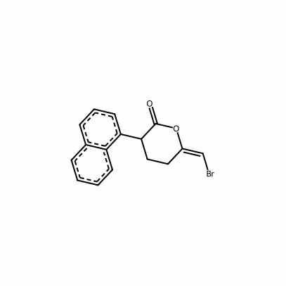 O=C1OC(=CBr)CCC1c1cccc2ccccc12